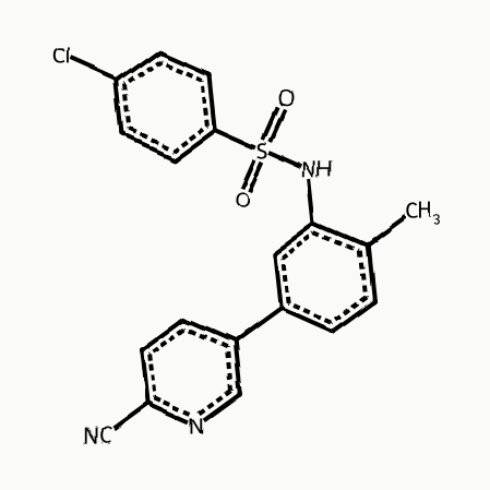 Cc1ccc(-c2ccc(C#N)nc2)cc1NS(=O)(=O)c1ccc(Cl)cc1